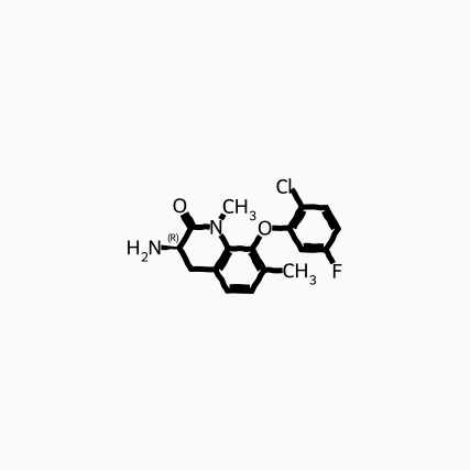 Cc1ccc2c(c1Oc1cc(F)ccc1Cl)N(C)C(=O)[C@H](N)C2